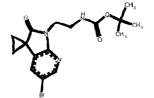 CC(C)(C)OC(=O)NCCN1C(=O)C2(CC2)c2cc(Br)cnc21